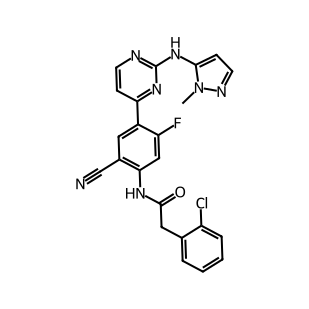 Cn1nccc1Nc1nccc(-c2cc(C#N)c(NC(=O)Cc3ccccc3Cl)cc2F)n1